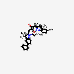 CCCCCCCCCCCCN1/C(=C\C2=C(O)C(=C\C3=[N+](CCCCCCCC)c4ccc(OC)cc4C3(C)C)/C2=O)C(C)(C)c2cc(-c3ccccc3)ccc21